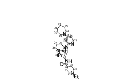 CCN1CCC(C(=O)NCC[C@@H]2[C@@H](Nc3nccc(N4CCCCCC4)n3)CCCN2C(C)C)CC1